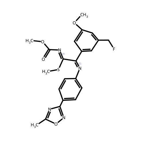 COC(=O)/N=C(SC)/C(=N\c1ccc(-c2noc(C)n2)cc1)c1cc(CF)cc(OC)c1